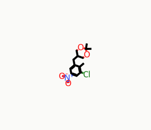 Cc1c(Cl)cc([N+](=O)[O-])cc1CC1COC(C)(C)OC1